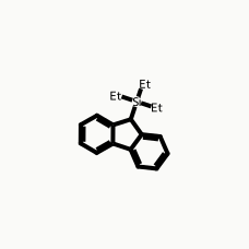 CC[Si](CC)(CC)C1c2ccccc2-c2ccccc21